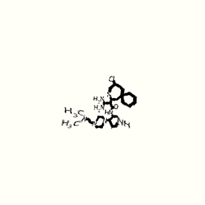 CN(C)CCN1CCN(C2CCNCC2NC(=O)C(C(N)N)C2CC3(CCCCC3)CCC(Cl)=C=N2)CC1